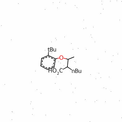 CCCCC(C(=O)O)C(C)Oc1ccccc1C(C)(C)C